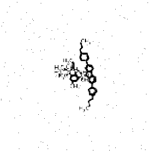 C=CCOc1c([Si](C)(C)C2c3cc(-c4ccc(CCCC)cc4)ccc3-c3ccc(-c4ccc(CCCC)cc4)cc32)cc(C)cc1[Si](C)(C)C(C)(C)C